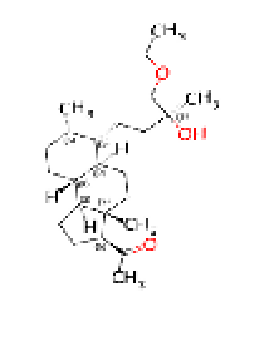 CCOC[C@@](C)(O)CC[C@@H]1[C@H]2CC[C@]3(C)[C@@H](C(C)=O)CC[C@H]3[C@@H]2CC[C@@H]1C